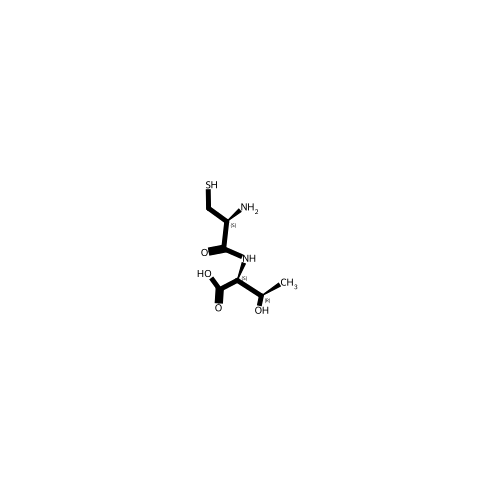 C[C@@H](O)[C@H](NC(=O)[C@H](N)CS)C(=O)O